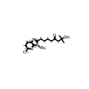 CC(C)(O)CC(=O)CCCCc1nc2ccc(Cl)nc2n1C(C)(C)C